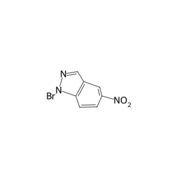 O=[N+]([O-])c1ccc2c(cnn2Br)c1